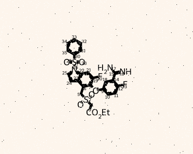 CCOC(=O)CS(=O)(=O)Cc1c(Oc2ccc(F)c(C(=N)N)c2)c(F)cc2c1ccn2S(=O)(=O)c1ccccc1